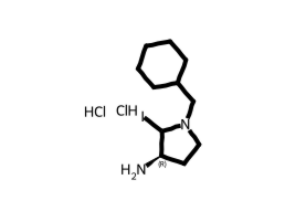 Cl.Cl.N[C@@H]1CCN(CC2CCCCC2)C1I